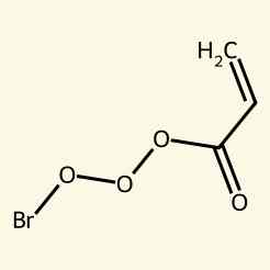 C=CC(=O)OOOBr